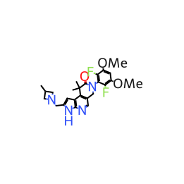 COc1cc(OC)c(F)c(N2Cc3cnc4[nH]c(CN5CC(C)C5)cc4c3C(C)(C)C2=O)c1F